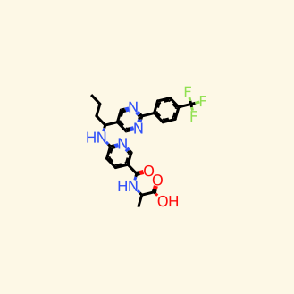 CCCC(Nc1ccc(C(=O)NC(C)C(=O)O)cn1)c1cnc(-c2ccc(C(F)(F)F)cc2)nc1